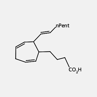 CCCCCC=CC1C=CCC=CC1CCCC(=O)O